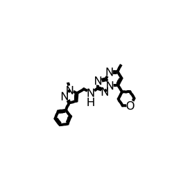 Cc1cc(C2CCOCC2)n2nc(NCc3cc(-c4ccccc4)nn3C)nc2n1